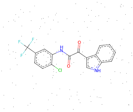 O=C(Nc1cc(C(F)(F)F)ccc1Cl)C(=O)c1c[nH]c2ccccc12